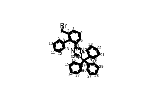 BrCc1ccccc1-c1ccccc1.c1ccc(C(c2ccccc2)(c2ccccc2)n2cnnn2)cc1